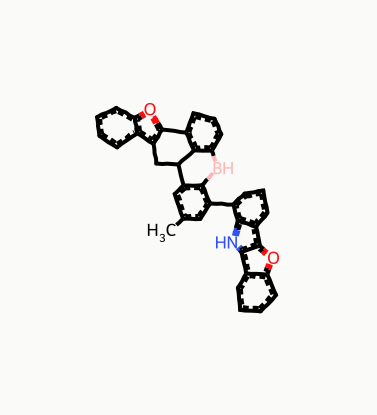 Cc1cc(-c2cccc3c2[nH]c2c4ccccc4oc32)c2c(c1)C1Cc3c(oc4ccccc34)-c3cccc(c31)B2